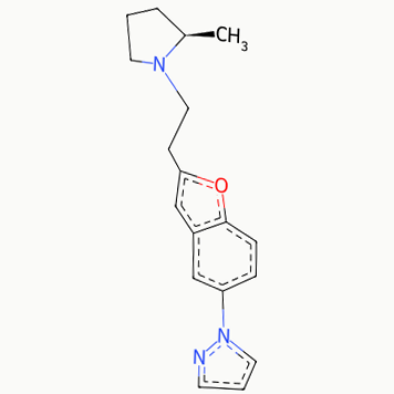 C[C@@H]1CCCN1CCc1cc2cc(-n3cccn3)ccc2o1